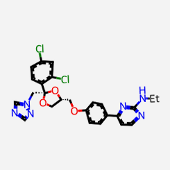 CCNc1nccc(-c2ccc(OC[C@@H]3CO[C@@](Cn4cncn4)(c4ccc(Cl)cc4Cl)O3)cc2)n1